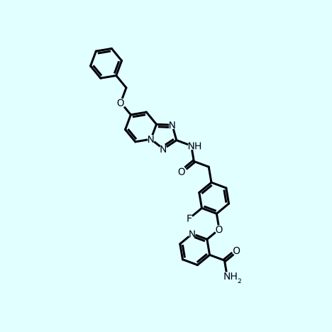 NC(=O)c1cccnc1Oc1ccc(CC(=O)Nc2nc3cc(OCc4ccccc4)ccn3n2)cc1F